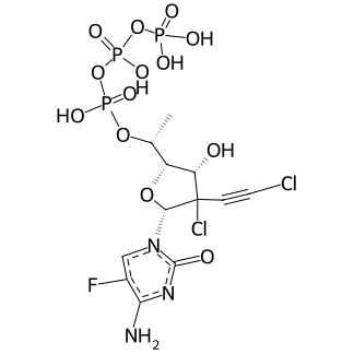 C[C@@H](OP(=O)(O)OP(=O)(O)OP(=O)(O)O)[C@H]1O[C@@H](n2cc(F)c(N)nc2=O)C(Cl)(C#CCl)[C@H]1O